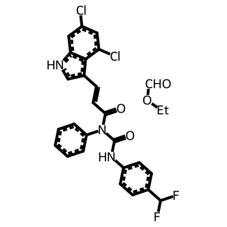 CCOC=O.O=C(C=Cc1c[nH]c2cc(Cl)cc(Cl)c12)N(C(=O)Nc1ccc(C(F)F)cc1)c1ccccc1